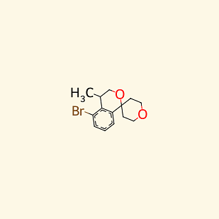 CC1COC2(CCOCC2)c2cccc(Br)c21